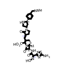 CNCc1ccc([C@H]2C[C@H](N3CC/C(=C\C4=C(C(=O)O)N5C(=O)[C@@H](NC(=O)/C(=N\O)c6nsc(N)n6)[C@H]5SC4)C3=O)CN2)cc1